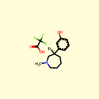 CCC1(c2cccc(O)c2)CCCCN(C)C1.O=C(O)C(F)(F)F